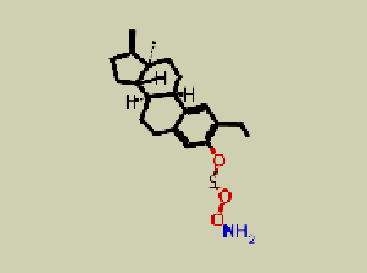 C=C1CC[C@H]2[C@@H]3CCc4cc(OSOON)c(CC)cc4[C@H]3CC[C@]12C